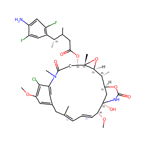 COc1cc2cc(c1Cl)N(C)C(=O)C[C@H](OC(=O)CC(C)[C@H](C)c1cc(F)c(N)cc1F)[C@]1(C)O[C@H]1[C@H](C)[C@@H]1C[C@@](O)(NC(=O)O1)[C@H](OC)/C=C/C=C(\C)C2